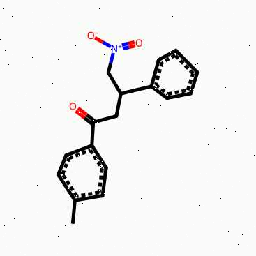 Cc1ccc(C(=O)CC(C[N+](=O)[O-])c2ccccc2)cc1